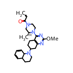 C=CC(=O)N1CCN(c2nc(OC)nc3c2CCC(N2CCCC4C=CC=CC42)C3)[C@@H](C)C1